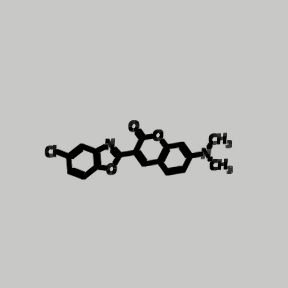 CN(C)c1ccc2cc(-c3nc4cc(Cl)ccc4o3)c(=O)oc2c1